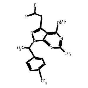 COc1nc(C)nc2c1c(CC(F)F)nn2C(C)c1ccc(C(F)(F)F)cc1